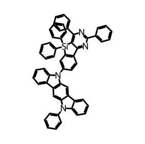 c1ccc(-c2nc(-c3ccccc3)c3c(n2)-c2ccc(-n4c5ccccc5c5cc6c(cc54)c4ccccc4n6-c4ccccc4)cc2[Si]3(c2ccccc2)c2ccccc2)cc1